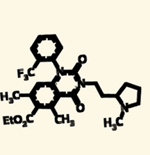 CCOC(=O)c1c(C)cc2c(c1C)c(=O)n(CCC1CCCN1C)c(=O)n2-c1ccccc1C(F)(F)F